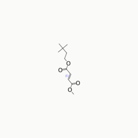 COC(=O)/C=C/C(=O)OCCC(C)(C)C